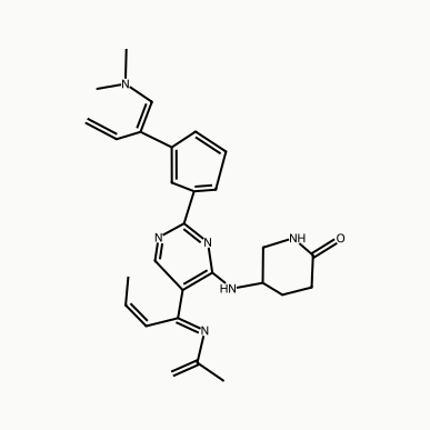 C=C/C(=C\N(C)C)c1cccc(-c2ncc(C(/C=C\C)=N/C(=C)C)c(NC3CCC(=O)NC3)n2)c1